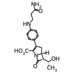 C[C@@H](O)[C@H]1C(=O)N2C(C(=O)O)=C(c3ccc(NCCC(N)=O)cc3)C[C@H]12